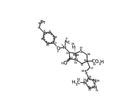 CC(=O)N(Oc1ccc(CC(C)C)cc1)C1C(=O)N2CC(CSc3nncn3C)(C(=O)O)CS[C@H]12